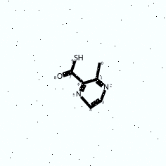 Cc1nccnc1C(=O)S